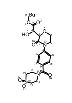 CC(C)(C)OC(=O)[C@H](O)[C@H]1OCCN(c2ccc(C(=O)N3CCS(=O)(=O)CC3)cc2)C1=O